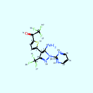 Nc1c(-c2ccc(C(=O)C(F)(F)F)s2)c(C(F)(F)F)nn1-c1ncccn1